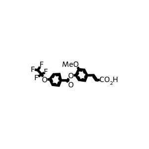 COc1cc(/C=C/C(=O)O)ccc1OC(=O)c1ccc(OC(F)(F)C(F)F)cc1